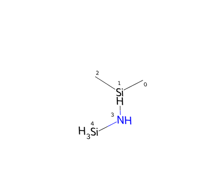 C[SiH](C)N[SiH3]